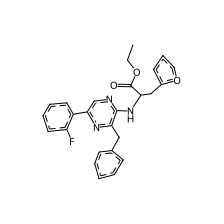 CCOC(=O)C(Cc1ccco1)Nc1ncc(-c2ccccc2F)nc1Cc1ccccc1